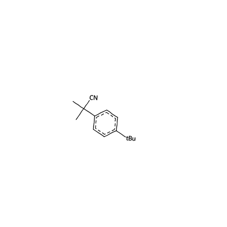 CC(C)(C)c1ccc(C(C)(C)C#N)cc1